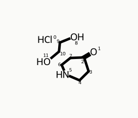 Cl.O=C1CCNCC1.OCCO